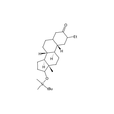 CCC1C[C@H]2C(CC[C@@H]3[C@@H]2CC[C@]2(C)C(O[Si](C)(C)C(C)(C)C)CC[C@@H]32)CC1=O